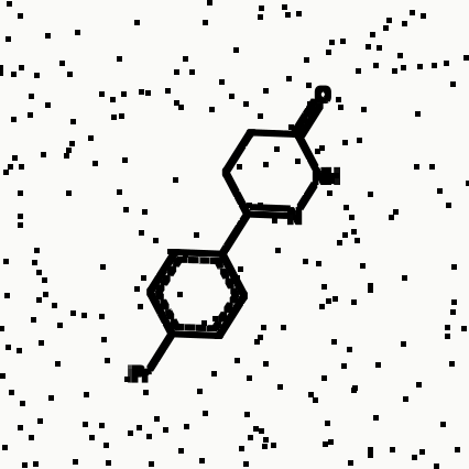 CC(C)c1ccc(C2=NNC(=O)CC2)cc1